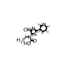 CCN(C(=O)O)c1sc(-c2cccnc2)nc1Cl